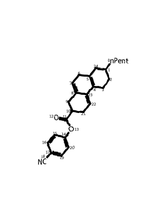 CCCCCC1CCC2=C(CC=C3CC(C(=O)Oc4ccc(C#N)cc4)CC=C32)C1